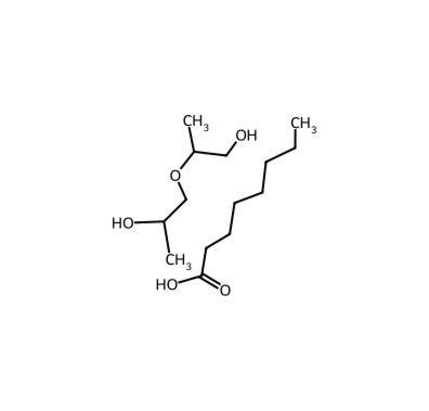 CC(O)COC(C)CO.CCCCCCCC(=O)O